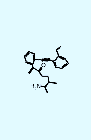 C=C(C(=O)CCC(C)C(C)N)c1ccccc1C#Cc1ccccc1CC